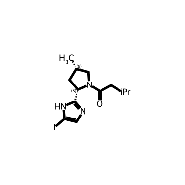 CC(C)CC(=O)N1C[C@@H](C)C[C@H]1c1ncc(I)[nH]1